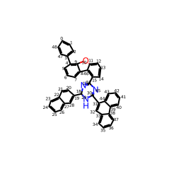 c1ccc(-c2cccc3c2oc2cccc(C4=NC(c5ccc6ccccc6c5)NC(c5cc6ccccc6c6ccccc56)=N4)c23)cc1